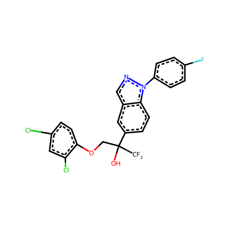 OC(COc1ccc(Cl)cc1Cl)(c1ccc2c(cnn2-c2ccc(F)cc2)c1)C(F)(F)F